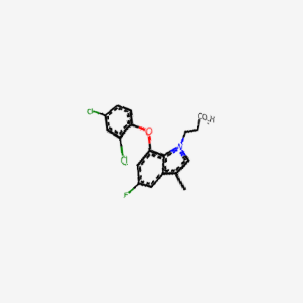 Cc1cn(CCC(=O)O)c2c(Oc3ccc(Cl)cc3Cl)cc(F)cc12